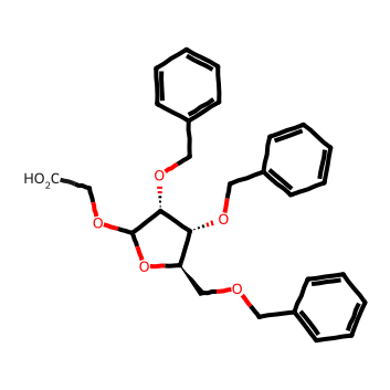 O=C(O)COC1O[C@H](COCc2ccccc2)[C@@H](OCc2ccccc2)[C@H]1OCc1ccccc1